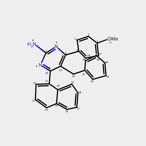 COc1ccc(-c2nc(N)nc(-c3cccc4ccccc34)c2Cc2ccccc2)cc1